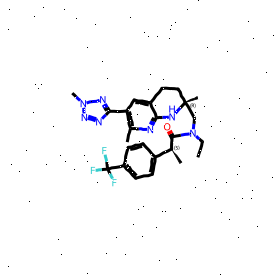 CCN(C[C@@]1(C)CCc2cc(-c3nnn(C)n3)c(C)nc2N1)C(=O)[C@@H](C)c1ccc(C(F)(F)F)cc1